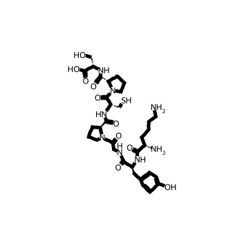 NCCCC[C@H](N)C(=O)N[C@@H](Cc1ccc(O)cc1)C(=O)NCC(=O)N1CCC[C@H]1C(=O)N[C@@H](CS)C(=O)N1CCC[C@H]1C(=O)N[C@@H](CO)C(=O)O